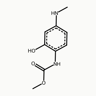 CNc1ccc(NC(=O)OC)c(O)c1